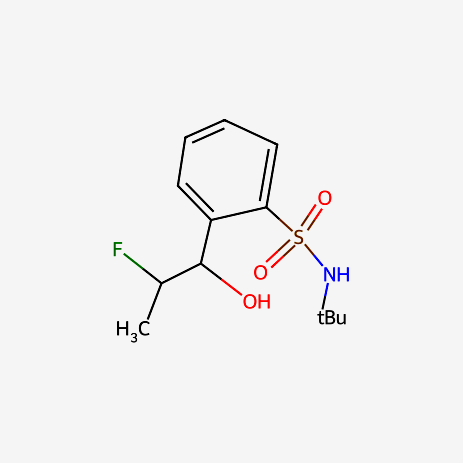 CC(F)C(O)c1ccccc1S(=O)(=O)NC(C)(C)C